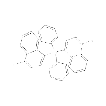 Brc1ccc([Si](c2ccccc2)(c2ccccc2)c2ccc(Br)c3ccccc23)c2ccccc12